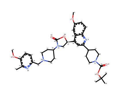 COc1ccc2nc(C3CCN(C(=O)OC(C)(C)C)CC3)cc([C@H]3CN(C4CCN(Cc5ccc(OC)c(C)n5)CC4)C(=O)O3)c2c1